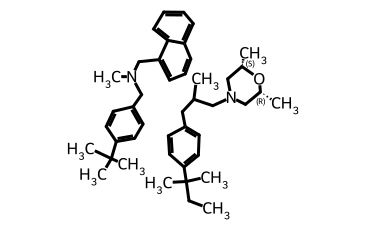 CCC(C)(C)c1ccc(CC(C)CN2C[C@@H](C)O[C@@H](C)C2)cc1.CN(Cc1ccc(C(C)(C)C)cc1)Cc1cccc2ccccc12